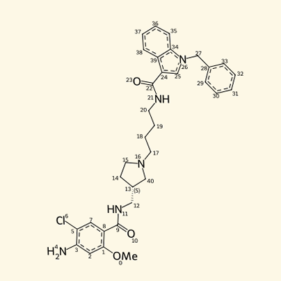 COc1cc(N)c(Cl)cc1C(=O)NC[C@@H]1CCN(CCCCNC(=O)c2cn(Cc3ccccc3)c3ccccc23)C1